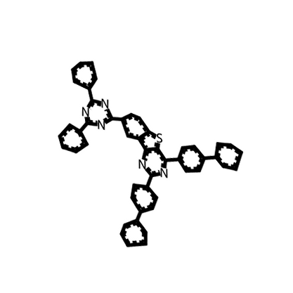 c1ccc(-c2ccc(-c3nc(-c4ccc(-c5ccccc5)cc4)c4sc5ccc(-c6nc(-c7ccccc7)nc(-c7ccccc7)n6)cc5c4n3)cc2)cc1